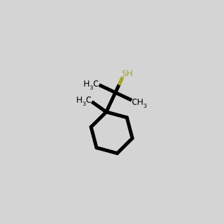 CC(C)(S)C1(C)CCCCC1